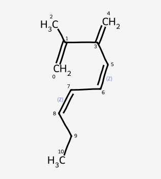 C=C(C)C(=C)/C=C\C=C/CC